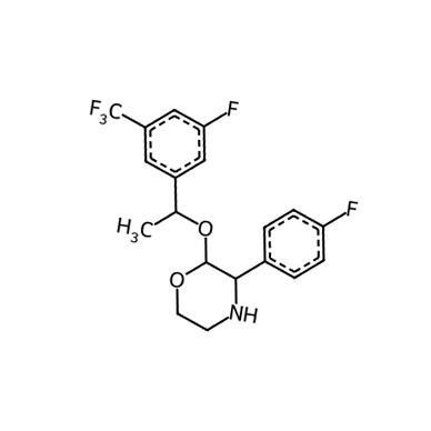 CC(OC1OCCNC1c1ccc(F)cc1)c1cc(F)cc(C(F)(F)F)c1